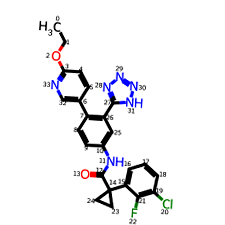 CCOc1ccc(-c2ccc(NC(=O)C3(c4cccc(Cl)c4F)CC3)cc2-c2nnn[nH]2)cn1